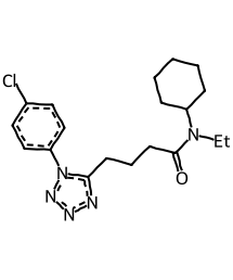 CCN(C(=O)CCCc1nnnn1-c1ccc(Cl)cc1)C1CCCCC1